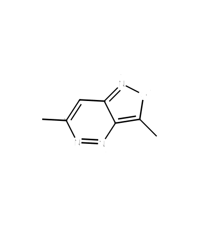 Cc1cc2noc(C)c2nn1